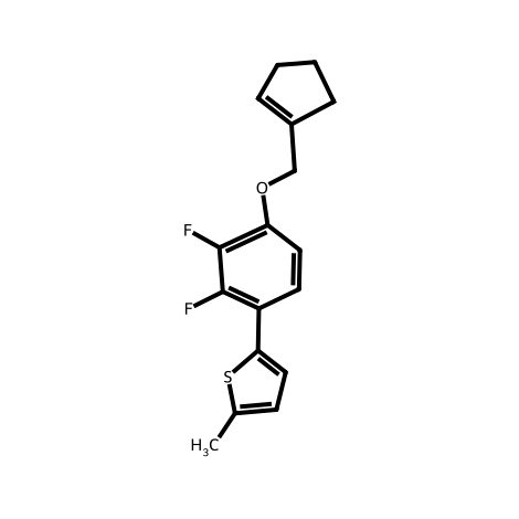 Cc1ccc(-c2ccc(OCC3=CCCC3)c(F)c2F)s1